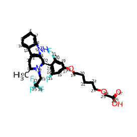 C[C@@H]1Cc2c([nH]c3ccccc23)[C@@H](c2c(F)cc(OCCCCCOCC(=O)O)cc2F)N1CC(F)(F)F